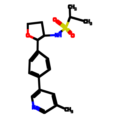 Cc1cncc(-c2ccc(C3OCCC3NS(=O)(=O)C(C)C)cc2)c1